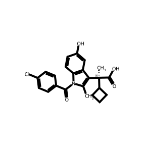 Cc1c([C@@](C)(C(=O)O)C2CCC2)c2cc(O)ccc2n1C(=O)c1ccc(Cl)cc1